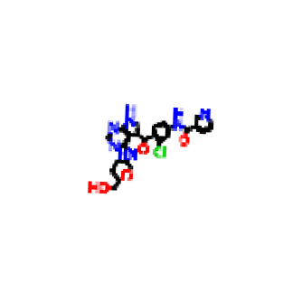 O=C(Nc1ccc(C(=O)c2c[nH]c3ncnc(NC4CCC(CO)OC4)c23)c(Cl)c1)c1cccnc1